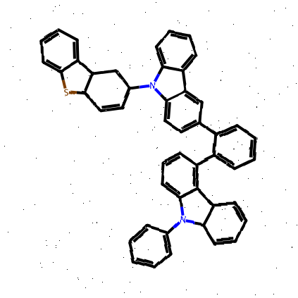 C1=CC2c3c(-c4ccccc4-c4ccc5c(c4)c4ccccc4n5C4C=CC5Sc6ccccc6C5C4)cccc3N(c3ccccc3)C2C=C1